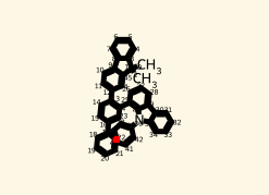 CC1(C)c2ccccc2-c2ccc(-c3ccc(-c4ccccc4)cc3-c3cccc4c5ccccc5n(-c5ccccc5)c34)cc21